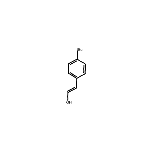 CC(C)(C)c1ccc(C=CO)cc1